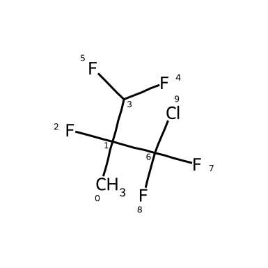 CC(F)(C(F)F)C(F)(F)Cl